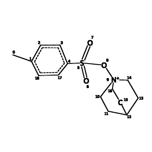 Cc1ccc(S(=O)(=O)O[N+]23CCC(CC2)CC3)cc1